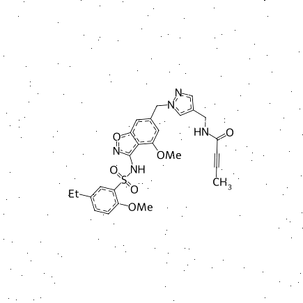 CC#CC(=O)NCc1cnn(Cc2cc(OC)c3c(NS(=O)(=O)c4cc(CC)ccc4OC)noc3c2)c1